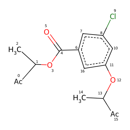 CC(=O)C(C)OC(=O)c1cc(Cl)cc(OC(C)C(C)=O)c1